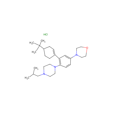 CC(C)CN1CCN(c2ccc(N3CCOCC3)cc2C2=CCC(C(C)(C)C)CC2)CC1.Cl